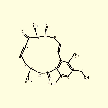 Cc1c(CO)cc(O)c2c1/C=C/C[C@H](O)[C@H](O)C(=O)/C=C\C[C@H](C)OC2=O